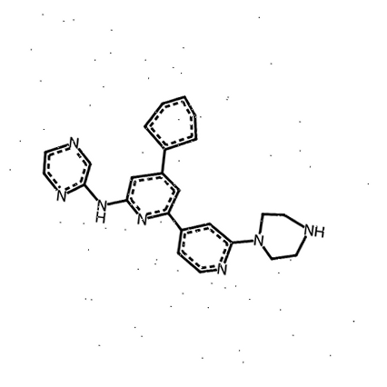 c1ccc(-c2cc(Nc3cnccn3)nc(-c3ccnc(N4CCNCC4)c3)c2)cc1